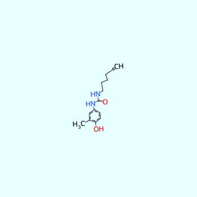 C#CCCCCNC(=O)Nc1ccc(O)c(C)c1